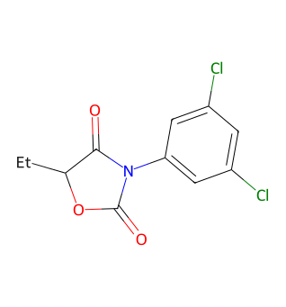 CCC1OC(=O)N(c2cc(Cl)cc(Cl)c2)C1=O